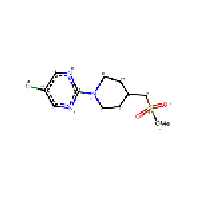 COS(=O)(=O)CC1CCN(c2ncc(Cl)cn2)CC1